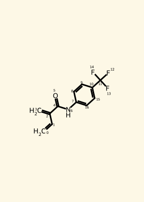 C=CC(=C)C(=O)Nc1ccc(C(F)(F)F)cc1